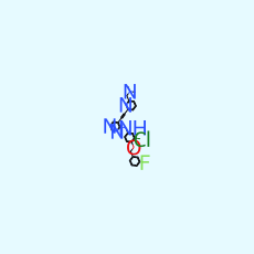 CN(C)Cc1cccc(C#Cc2cncnc2Nc2ccc(OCc3cccc(F)c3)c(Cl)c2)n1